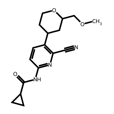 COCC1CC(c2ccc(NC(=O)C3CC3)nc2C#N)CCO1